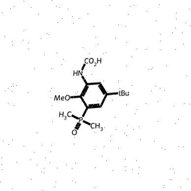 COc1c(NC(=O)O)cc(C(C)(C)C)cc1P(C)(C)=O